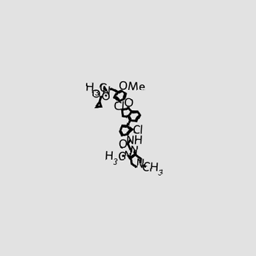 COc1cc(OC2CCc3c(-c4cccc(NC(=O)c5nc6c(n5C)CCN(C)C6)c4Cl)cccc32)c(Cl)cc1CN(C)OC(=O)C1CC1